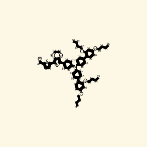 CCCCOc1ccc(-c2ccc(N(c3ccc(-c4ccc(OCCCC)cc4OCCCC)cc3)c3ccc(-c4sc(-c5ccc(C=O)s5)c5c4OCCO5)cc3)cc2)c(OCCCC)c1